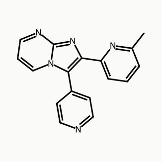 Cc1cccc(-c2nc3ncccn3c2-c2ccncc2)n1